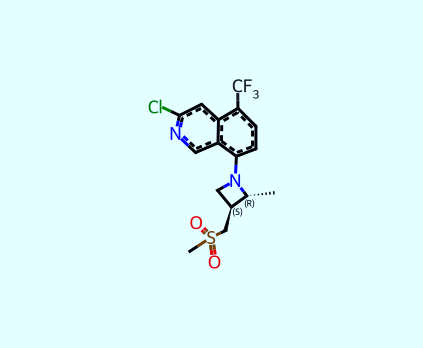 C[C@@H]1[C@@H](CS(C)(=O)=O)CN1c1ccc(C(F)(F)F)c2cc(Cl)ncc12